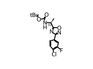 C[C@H](NC(=O)OC(C)(C)C)c1nc(-c2ccc(Cl)c(F)c2)no1